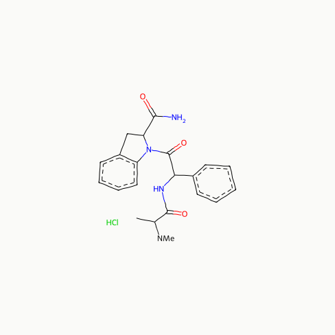 CNC(C)C(=O)NC(C(=O)N1c2ccccc2CC1C(N)=O)c1ccccc1.Cl